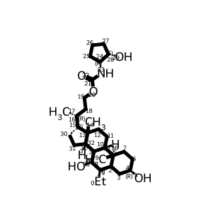 CC[C@@H]1C2C[C@H](O)CCC2(C)[C@H]2CCC3(C)[C@@H]([C@H](C)CCOC(=O)N[C@@H]4CCC[C@@H]4O)CC[C@H]3C2[C@@H]1O